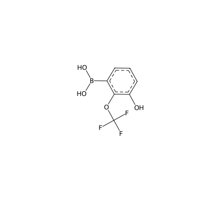 OB(O)c1cccc(O)c1OC(F)(F)F